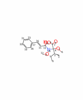 CC[C@H](C)[C@@](OC)(C(=O)O)N(OC)C(=O)C=Cc1ccccc1